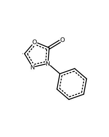 O=c1o[c]nn1-c1ccccc1